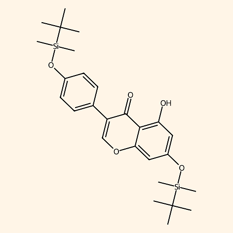 CC(C)(C)[Si](C)(C)Oc1ccc(-c2coc3cc(O[Si](C)(C)C(C)(C)C)cc(O)c3c2=O)cc1